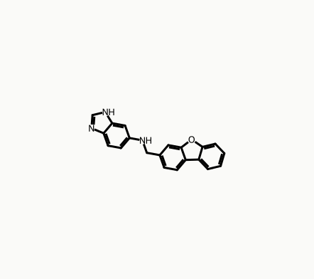 c1ccc2c(c1)oc1cc(CNc3ccc4nc[nH]c4c3)ccc12